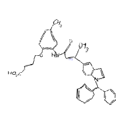 C/C(=C\C(=O)Nc1cc(C)ccc1OCCCC(=O)O)c1ccc2c(ccn2C(c2ccccc2)c2ccccc2)c1